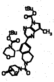 Cc1cn(C(=O)OC(C)(C)C)c2ncc(-c3cc4c(c([C@@H]5COCCN5C(=O)OC(C)(C)C)c3)CN(C(=O)N3CC5CCC3CC5=O)CC4)nc12